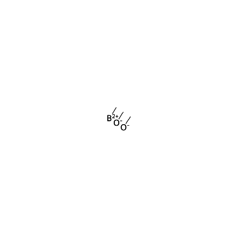 C[O-].C[O-].[B+2]C